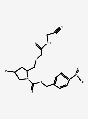 N#CCNC(=O)CSCC1CC(S)CN1C(=O)OCc1ccc([N+](=O)[O-])cc1